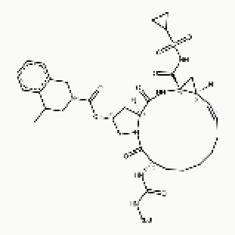 CC1CN(C(=O)O[C@@H]2C[C@H]3C(=O)N[C@]4(C(=O)NS(=O)(=O)C5CC5)C[C@H]4/C=C\CCCCC[C@H](NC(=O)NC(C)(C)C)C(=O)N3C2)Cc2ccccc21